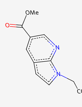 COC(=O)c1cnc2c(ccn2CC(=O)O)c1